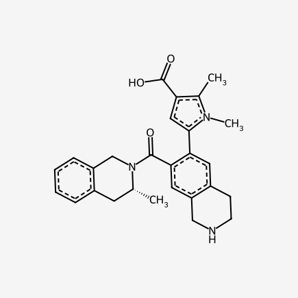 Cc1c(C(=O)O)cc(-c2cc3c(cc2C(=O)N2Cc4ccccc4C[C@H]2C)CNCC3)n1C